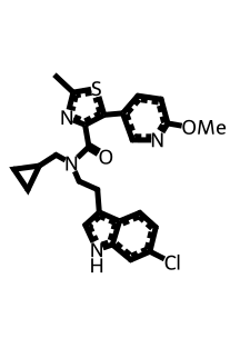 COc1ccc(-c2sc(C)nc2C(=O)N(CCc2c[nH]c3cc(Cl)ccc23)CC2CC2)cn1